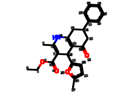 CCOC(=O)C1=C(C)NC2=C(C(=O)CC(c3ccccc3)C2)C1c1ccc(C)o1